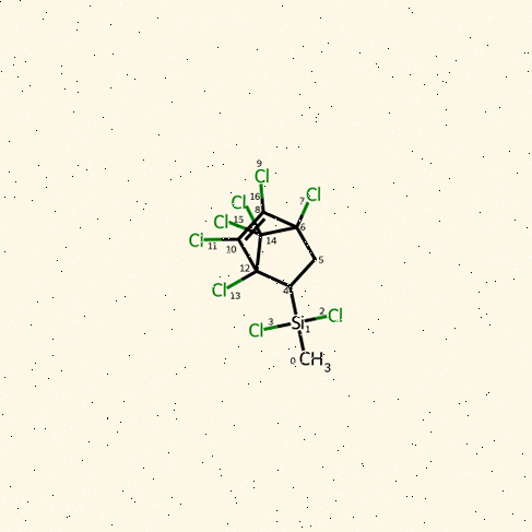 C[Si](Cl)(Cl)C1CC2(Cl)C(Cl)=C(Cl)C1(Cl)C2(Cl)Cl